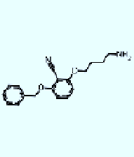 N#Cc1c(OCCCCN)cccc1OCc1ccccc1